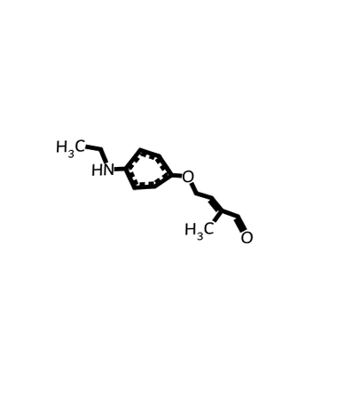 CCNc1ccc(OC/C=C(\C)C=O)cc1